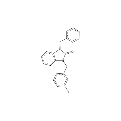 O=C1/C(=C\c2ccccc2)c2ccccc2N1Cc1cccc(F)c1